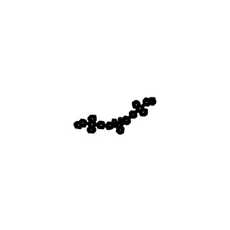 c1ccc2cc(-c3c4ccccc4c(-c4ccc(-c5ccc6c(c5)oc5c7oc8cc(-c9ccc(-c%10c%11ccccc%11c(-c%11ccc%12ccccc%12c%11)c%11ccccc%10%11)cc9)ccc8c7c7ccccc7c65)cc4)c4ccccc34)ccc2c1